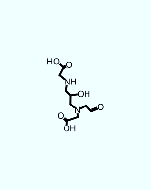 O=CCN(CC(=O)O)CC(O)CNCC(=O)O